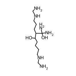 NCNCCCCC(O)C(CCCNCN)C(N)(N)O